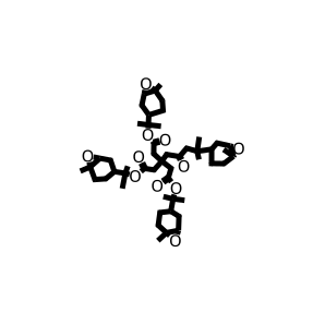 CC(C)(CC(=O)CC(CC(=O)OC(C)(C)C1CCC2(C)OC2C1)(CC(=O)OC(C)(C)C1CCC2(C)OC2C1)CC(=O)OC(C)(C)C1CCC2(C)OC2C1)C1CCC2(C)OC2C1